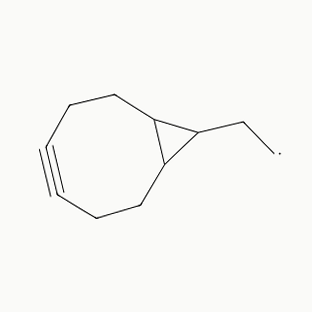 [CH2]CC1C2CCC#CCCC12